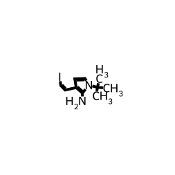 CC(C)(C)n1ccc(/C=C\I)c1N